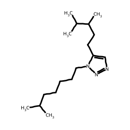 CC(C)CCCCCn1nncc1CCC(C)C(C)C